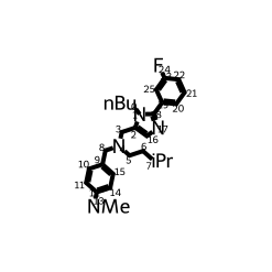 CCCCn1c(CN(CCC(C)C)Cc2ccc(NC)cc2)cnc1-c1cccc(F)c1